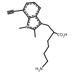 C#Cc1cccc2c(CC(CCCCN)C(=O)O)c(C)n(C)c12